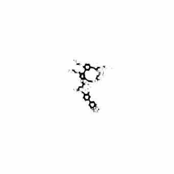 Cc1cc(-c2ccc(S(F)(F)(F)(F)F)cc2)ccc1C(=O)NC(CCN)C(=O)N(C)C1C(=O)NC(C)C(=O)NC(C(=O)NCC#N)Cc2ccc(OCCN)c(c2)-c2cc1ccc2OCCN